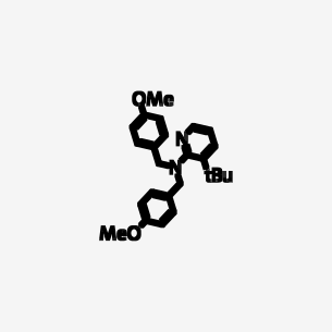 COc1ccc(CN(Cc2ccc(OC)cc2)c2ncccc2C(C)(C)C)cc1